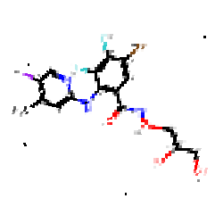 Cc1cc(Nc2c(C(=O)NOC[C@H](O)CO)cc(Br)c(F)c2F)ncc1I